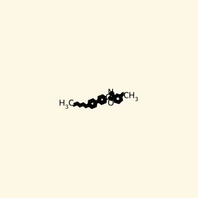 CCCCCCc1ccc(-c2ccc(OC(=O)C3(C#N)CCCC(CC)C3)cc2)cc1